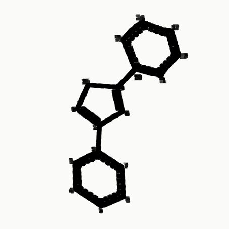 C1=C(c2ccccc2)C=C(c2ccccc2)C1